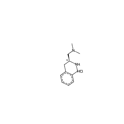 CN(C)C[C@@H]1Cc2ccccc2CN1.Cl